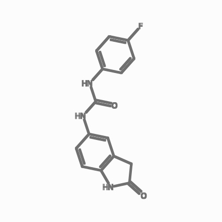 O=C1Cc2cc(NC(=O)Nc3ccc(F)cc3)ccc2N1